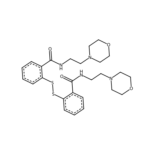 O=C(NCCN1CCOCC1)c1ccccc1SSc1ccccc1C(=O)NCCN1CCOCC1